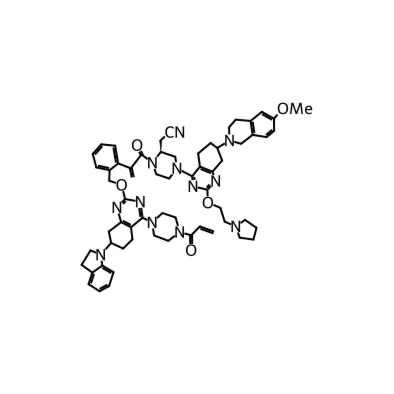 C=CC(=O)N1CCN(c2nc(OCc3ccccc3C(=C)C(=O)N3CCN(c4nc(OCCN5CCCC5)nc5c4CCC(N4CCc6cc(OC)ccc6C4)C5)C[C@@H]3CC#N)nc3c2CCC(N2CCc4ccccc42)C3)CC1